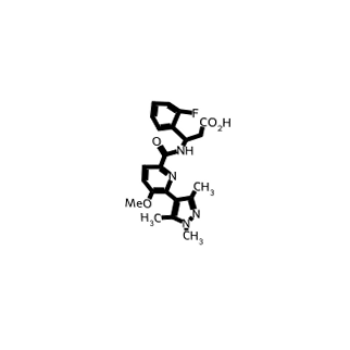 COc1ccc(C(=O)NC(CC(=O)O)c2ccccc2F)nc1-c1c(C)nn(C)c1C